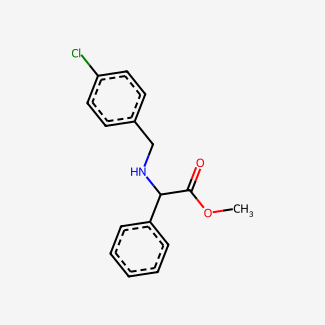 COC(=O)C(NCc1ccc(Cl)cc1)c1ccccc1